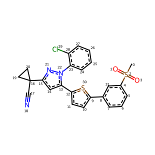 CS(=O)(=O)c1cccc(-c2ccc(-c3cc(C4(C#N)CC4)nn3-c3ccccc3Cl)s2)c1